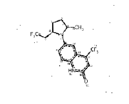 CC1CC[C@H](CC(F)(F)F)N1c1ccc2[nH]c(=O)cc(C(F)(F)F)c2c1